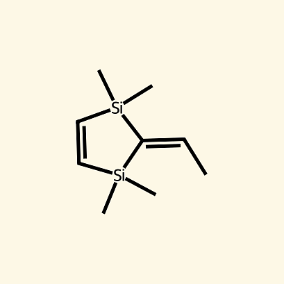 CC=C1[Si](C)(C)C=C[Si]1(C)C